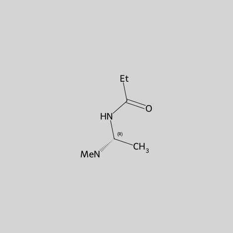 CCC(=O)N[C@H](C)NC